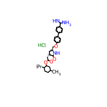 CC1CCC(C(C)C)C(OC(=O)C[C@@H]2C[C@@H](COc3ccc(-c4ccc(C(=N)N)cc4)cc3)NC2=O)C1.Cl